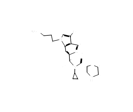 CCc1cn(CCCOC)c2cc([C@@H](C)N(C(=O)[C@H]3CNCCO3)C3CC3)ncc12